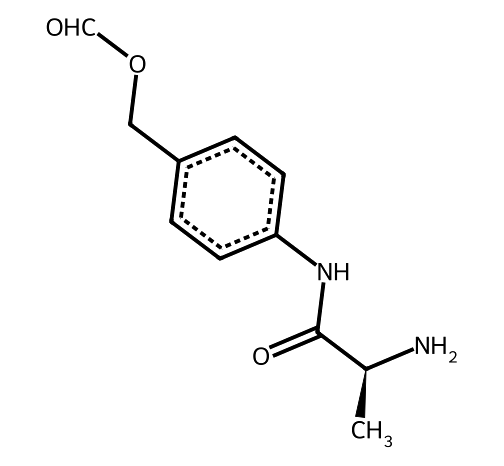 C[C@H](N)C(=O)Nc1ccc(COC=O)cc1